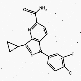 NC(=O)c1ccc2c(n1)c(C1CC1)nn2-c1ccc(Cl)c(F)c1